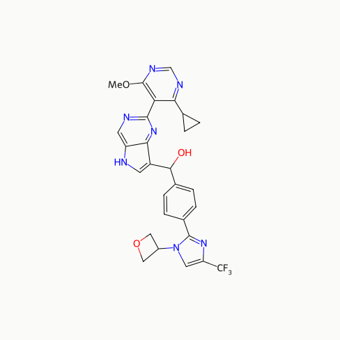 COc1ncnc(C2CC2)c1-c1ncc2[nH]cc(C(O)c3ccc(-c4nc(C(F)(F)F)cn4C4COC4)cc3)c2n1